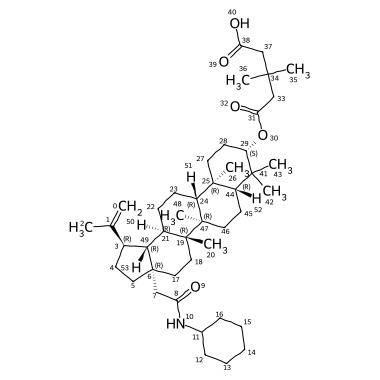 C=C(C)[C@@H]1CC[C@]2(CC(=O)NC3CCCCC3)CC[C@]3(C)[C@H](CC[C@@H]4[C@@]5(C)CC[C@H](OC(=O)CC(C)(C)CC(=O)O)C(C)(C)[C@@H]5CC[C@]43C)[C@@H]12